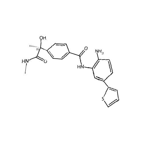 CNC(=O)[C@@](C)(O)c1ccc(C(=O)Nc2cc(-c3cccs3)ccc2N)cc1